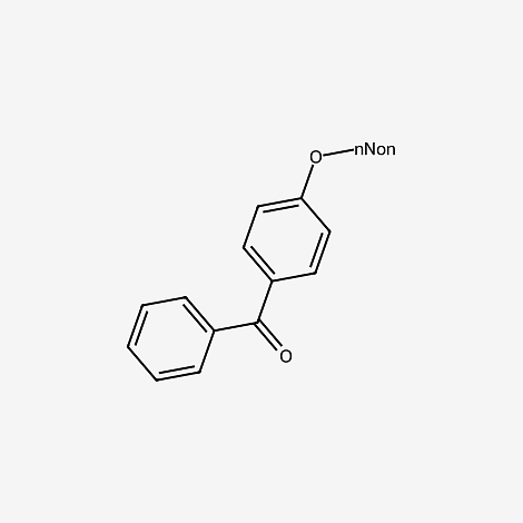 CCCCCCCCCOc1ccc(C(=O)c2ccccc2)cc1